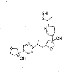 CC(CC1C[C@](O)(c2ccc(C(C)SS)nc2)CO1)c1ccc([C@]2(O)CCOC2)cn1